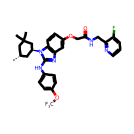 C[C@H]1C[C@H](n2c(Nc3ccc(OC(F)(F)F)cc3)nc3cc(OCC(=O)NCc4ncccc4F)ccc32)CC(C)(C)C1